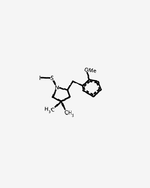 COc1ccccc1CC1CC(C)(C)CN1SI